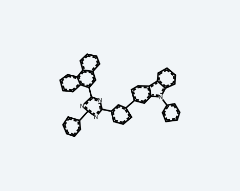 c1ccc(-c2nc(-c3cccc(-c4ccc5c6ccccc6n(-c6ccccc6)c5c4)c3)nc(-c3cc4ccccc4c4ccccc34)n2)cc1